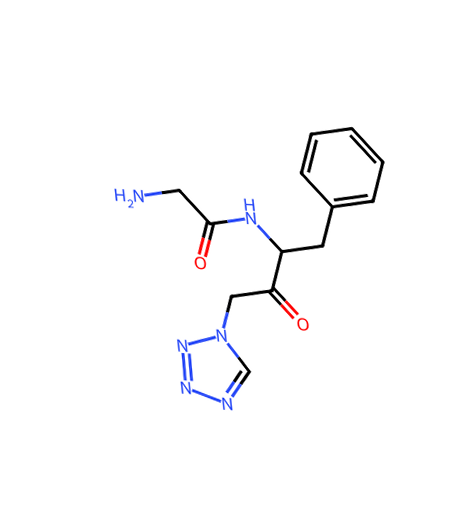 NCC(=O)NC(Cc1ccccc1)C(=O)Cn1cnnn1